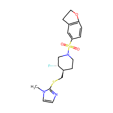 Cn1ccnc1SC[C@@H]1CCN(S(=O)(=O)c2ccc3c(c2)CCO3)C[C@H]1F